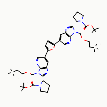 CC(C)(C)OC(=O)N1CCC[C@H]1c1nc2cc(-c3ccc(-c4cnc5c(c4)nc([C@@H]4CCCN4C(=O)OC(C)(C)C)n5COCC[Si](C)(C)C)o3)cnc2n1COCC[Si](C)(C)C